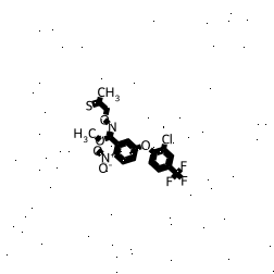 COC(=NOCC(C)=S)c1cc(Oc2ccc(C(F)(F)F)cc2Cl)ccc1[N+](=O)[O-]